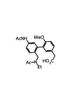 CCN(Cc1ccc(NC(C)=O)cc1-c1cc(CC(=O)O)ccc1OC)C(C)=O